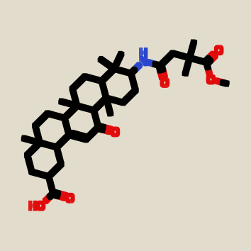 COC(=O)C(C)(C)CC(=O)NC1CCC2(C)C(CCC3(C)C4CCC5(C)CCC(C(=O)O)CC5C4=CC(=O)C32)C1(C)C